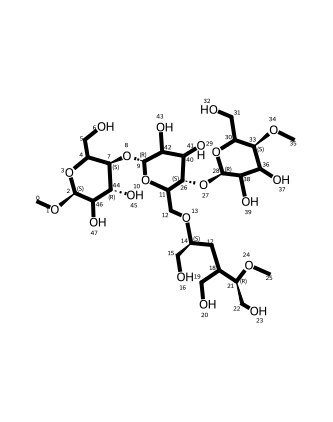 CO[C@H]1OC(CO)[C@@H](O[C@H]2OC(CO[C@H](CO)CC(CO)[C@H](CO)OC)[C@@H](O[C@H]3OC(CO)[C@@H](OC)C(O)C3O)C(O)C2O)[C@H](O)C1O